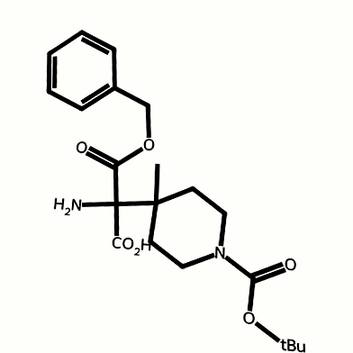 CC(C)(C)OC(=O)N1CCC(C)(C(N)(C(=O)O)C(=O)OCc2ccccc2)CC1